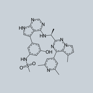 Cc1cc(-c2nc([C@H](C)Nc3ncnc4[nH]cc(-c5cc(O)cc(NS(C)(=O)=O)c5)c34)nn3ccc(C)c23)cc(C)n1